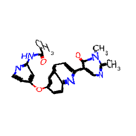 CC(=O)Nc1cc(Oc2ccc3nc(-c4cnc(C)n(C)c4=O)ccc3c2)ccn1